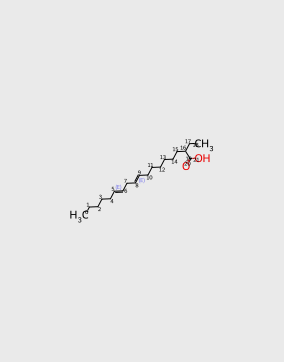 CCCCC/C=C/C/C=C/CCCCCCC(CC)C(=O)O